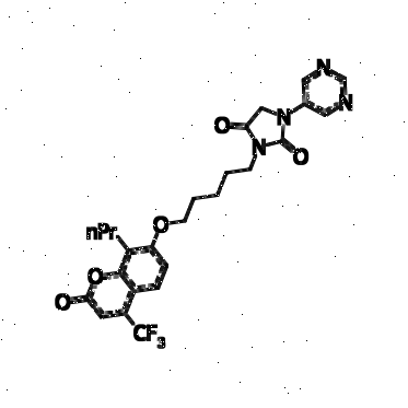 CCCc1c(OCCCCCN2C(=O)CN(c3cncnc3)C2=O)ccc2c(C(F)(F)F)cc(=O)oc12